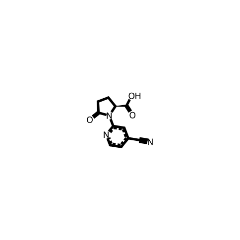 N#Cc1ccnc(N2C(=O)CC[C@H]2C(=O)O)c1